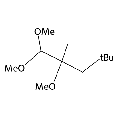 CO[C](OC)C(C)(CC(C)(C)C)OC